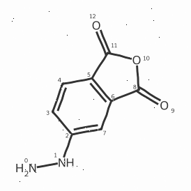 NNc1ccc2c(c1)C(=O)OC2=O